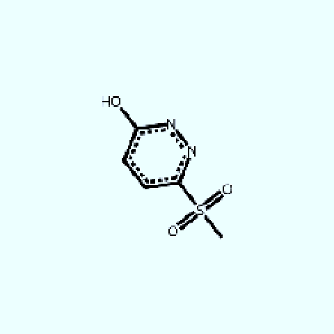 CS(=O)(=O)c1ccc(O)nn1